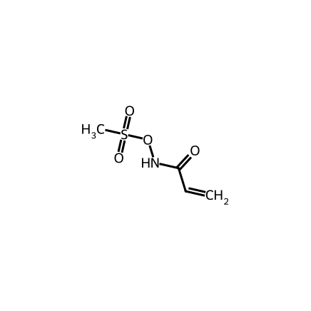 C=CC(=O)NOS(C)(=O)=O